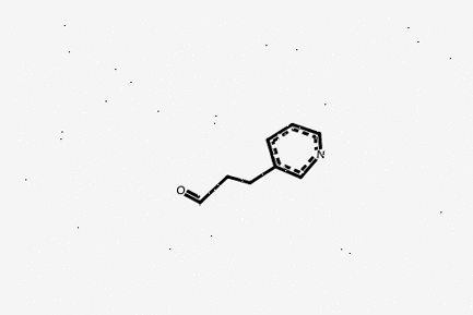 O=[C]CCc1cccnc1